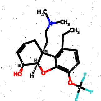 CCc1ccc(OC(F)(F)F)c2c1[C@]1(CCN(C)C)CC=C[C@H](O)[C@@H]1O2